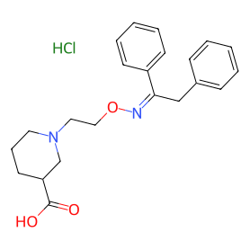 Cl.O=C(O)C1CCCN(CCON=C(Cc2ccccc2)c2ccccc2)C1